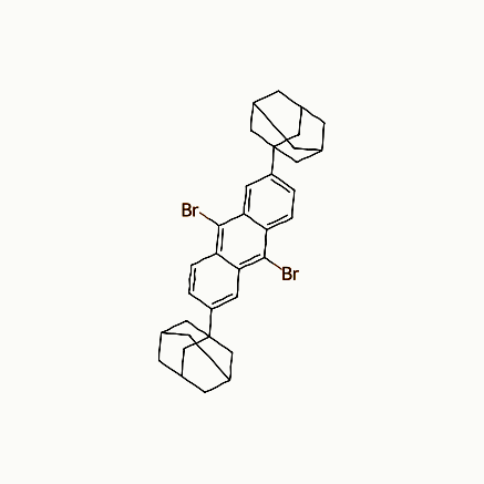 Brc1c2ccc(C34CC5CC(CC(C5)C3)C4)cc2c(Br)c2ccc(C34CC5CC(CC(C5)C3)C4)cc12